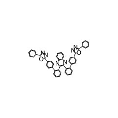 c1ccc(-c2nnc(-c3ccc(-c4ccccc4-c4nc5ccccc5nc4-c4ccccc4-c4ccc(-c5nnc(-c6ccccc6)o5)cc4)cc3)o2)cc1